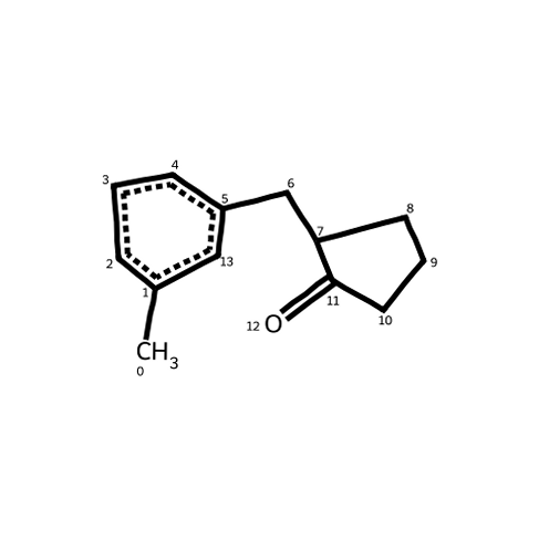 Cc1cccc(CC2CCCC2=O)c1